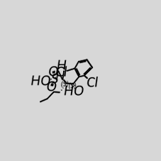 CCCC[C@H](NS(=O)(=O)O)[C@@H](O)c1c(Cl)cccc1Cl